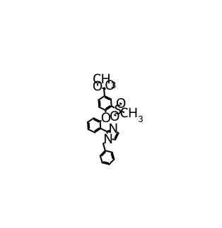 COC(=O)c1ccc(Oc2ccccc2-c2nccn2Cc2ccccc2)c(S(C)(=O)=O)c1